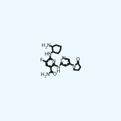 NC(=O)c1cc(F)c(NC2CCCCC2N)nc1Nc1cncc(N2CCCC2=O)c1